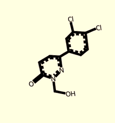 O=c1ccc(-c2ccc(Cl)c(Cl)c2)nn1CO